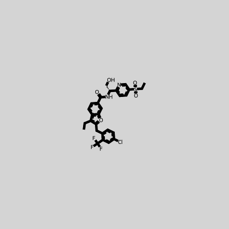 CCc1c(Cc2ccc(Cl)cc2C(F)(F)F)oc2cc(C(=O)N[C@H](CO)c3ccc(S(=O)(=O)CC)cn3)ccc12